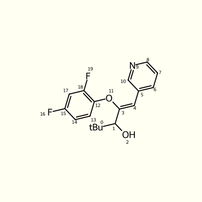 CC(C)(C)C(O)C(=Cc1cccnc1)Oc1ccc(F)cc1F